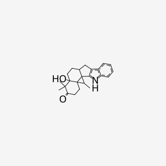 CC1C23c4[nH]c5ccccc5c4CC2CCC2(O)C(C)(C)C(=O)CCC132